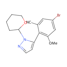 COc1cc(Br)cc(C#N)c1-c1ccnn1C1CCCCO1